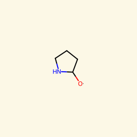 [O]C1CCCN1